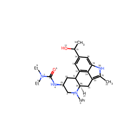 CCCN1C[C@@H](NC(=O)N(CC)CC)CC2c3cc(C(C)O)cc4[nH]c(C)c(c34)C[C@H]21